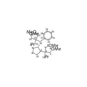 COCC(COC)(C(C)C)C1CCCC1.COCC(COC)(Cc1ccccc1)C(C)C